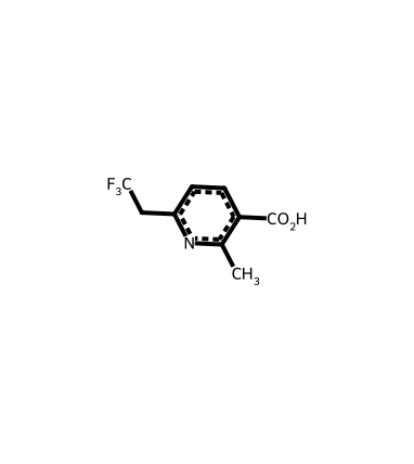 Cc1nc(CC(F)(F)F)ccc1C(=O)O